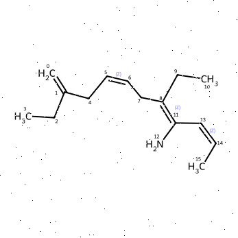 C=C(CC)C/C=C\C/C(CC)=C(N)/C=C\C